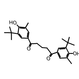 Cc1cc(C(=O)CCCC(=O)c2cc(C)c(O)c(C(C)(C)C)c2)cc(C(C)(C)C)c1O